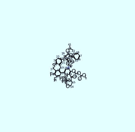 COC(=O)OCOc1c2n(c(-c3cc(F)c(F)c4c3Cc3ccccc3SC4)c/c1=N\OP(=O)(N[C@H](C)C(=O)OC(C)C)Oc1ccccc1)N[C@@H]1COCCN1C2=O